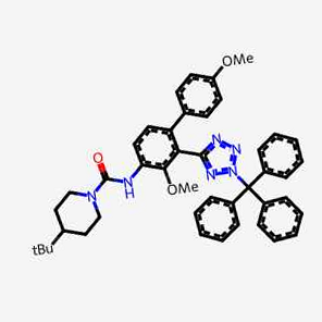 COc1ccc(-c2ccc(NC(=O)N3CCC(C(C)(C)C)CC3)c(OC)c2-c2nnn(C(c3ccccc3)(c3ccccc3)c3ccccc3)n2)cc1